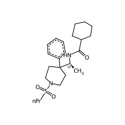 CCCS(=O)(=O)N1CCC(c2ccccc2)([C@H](C)NC(=O)C2CCCCC2)CC1